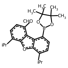 CC(C)c1ccc(C=O)c2c1oc1c(C(C)C)ccc(B3OC(C)(C)C(C)(C)O3)c12